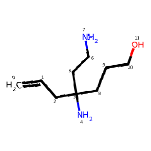 C=CCC(N)(CCN)CCCO